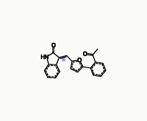 CC(=O)c1ccccc1-c1ccc(/C=C2/C(=O)Nc3ccccc32)o1